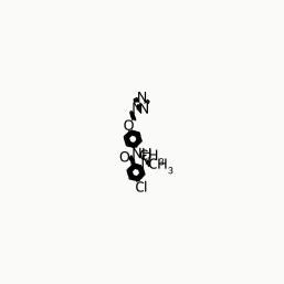 CN(C)c1cc(Cl)ccc1C(=O)Nc1ccc(OCCn2cncn2)cc1